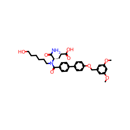 COc1cc(COc2ccc(-c3ccc(C(=O)N(CCCCCCO)[C@@H](CCC(=O)O)C(N)=O)cc3)cc2)cc(OC)c1